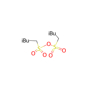 CCC(C)CS(=O)(=O)OS(=O)(=O)CC(C)CC